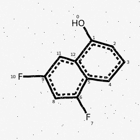 Oc1cccc2c(F)cc(F)cc12